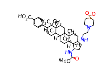 COC(=O)N[C@@H]1CC[C@]2(NCCN3CCS(=O)(=O)CC3)CC[C@]3(C)[C@H](CC[C@@H]4[C@@]5(C)CC=C(c6ccc(C(=O)O)cc6)C(C)(C)[C@@H]5CC[C@]43C)[C@@H]12